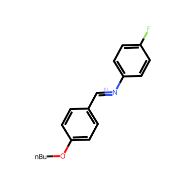 CCCCOc1ccc(/C=N/c2ccc(F)cc2)cc1